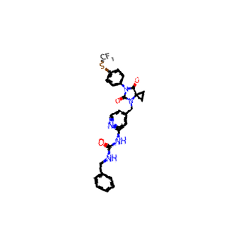 O=C(NCc1ccccc1)Nc1cc(CN2C(=O)N(c3ccc(SC(F)(F)F)cc3)C(=O)C23CC3)ccn1